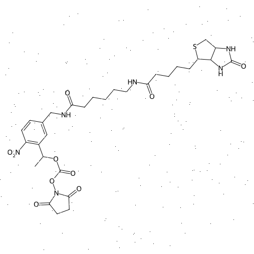 CC(OC(=O)ON1C(=O)CCC1=O)c1cc(CNC(=O)CCCCCNC(=O)CCCCC2SCC3NC(=O)NC32)ccc1[N+](=O)[O-]